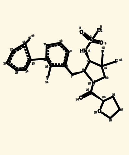 CCS(=O)(=O)N[C@@H]1[C@H](Cc2cccc(-c3ccccc3F)c2F)N(C(=O)[C@H]2CCCO2)CC1(F)F